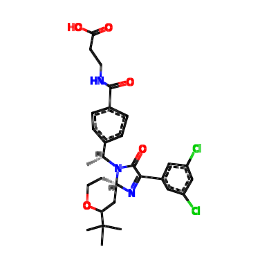 C[C@H](c1ccc(C(=O)NCCC(=O)O)cc1)N1C(=O)C(c2cc(Cl)cc(Cl)c2)=N[C@]12CCOC(C(C)(C)C)C2